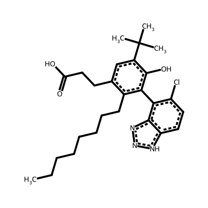 CCCCCCCCc1c(CCC(=O)O)cc(C(C)(C)C)c(O)c1-c1c(Cl)ccc2[nH]nnc12